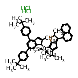 CC1=Cc2c(-c3ccc(C(C)(C)C)cc3)cc(-c3ccc(C(C)(C)C)cc3)cc2[CH]1[Zr]([CH3])([CH3])(=[SiH2])[C]1=C2SC(C)C(c3cccc4ccccc34)=C2C=C1C(C)C.Cl.Cl